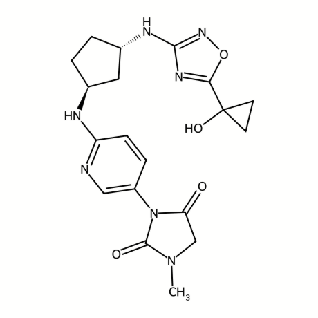 CN1CC(=O)N(c2ccc(N[C@H]3CC[C@H](Nc4noc(C5(O)CC5)n4)C3)nc2)C1=O